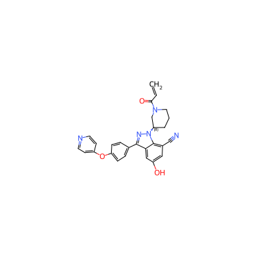 C=CC(=O)N1CCC[C@@H](n2nc(-c3ccc(Oc4ccncc4)cc3)c3cc(O)cc(C#N)c32)C1